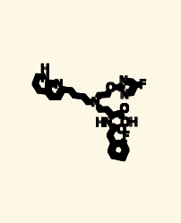 O=C(Cc1ccccc1F)NC(CCN(CCCCc1ccc2c(n1)NCCC2)CCOc1ncc(F)cn1)C(=O)O